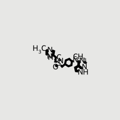 CN=S(=O)(CCc1cnc(C)cn1)CC1CCC(N(C)c2ncnc3[nH]ccc23)CC1